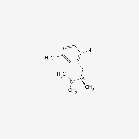 Cc1ccc(I)c(C[C@@H](C)N(C)C)c1